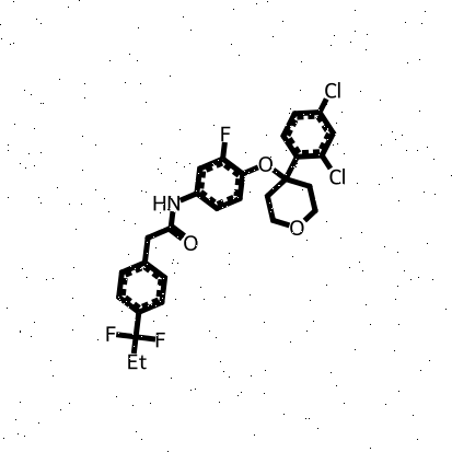 CCC(F)(F)c1ccc(CC(=O)Nc2ccc(OC3(c4ccc(Cl)cc4Cl)CCOCC3)c(F)c2)cc1